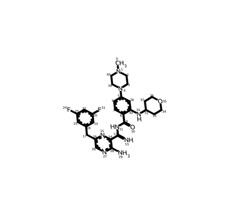 CN1CCN(c2ccc(C(=O)NC(=N)c3nc(Cc4cc(F)cc(F)c4)cnc3N)c(NC3CCOCC3)c2)CC1